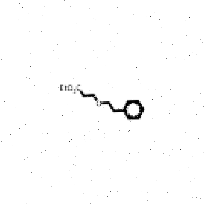 CCOC(=O)CCOCCc1ccccc1